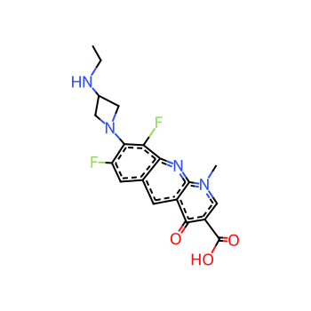 CCNC1CN(c2c(F)cc3cc4c(=O)c(C(=O)O)cn(C)c4nc3c2F)C1